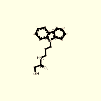 O=C(CS)NCCCn1c2ccccc2c2ccccc21